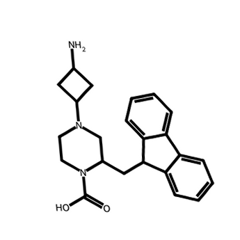 NC1CC(N2CCN(C(=O)O)C(CC3c4ccccc4-c4ccccc43)C2)C1